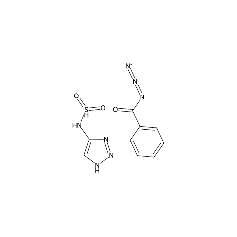 O=[SH](=O)Nc1c[nH]nn1.[N-]=[N+]=NC(=O)c1ccccc1